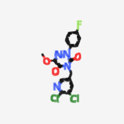 COc1nn(-c2ccc(F)cc2)c(=O)n(Cc2cnc(Cl)c(Cl)c2)c1=O